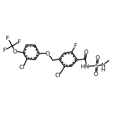 CNS(=O)(=O)NC(=O)c1cc(Cl)c(COc2ccc(OC(F)(F)F)c(Cl)c2)cc1F